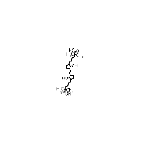 CC(C)(CCCCC1CCC(C=CC2CCC(CCCCC(C)(C)C(=O)O)C2O)C1O)C(=O)O